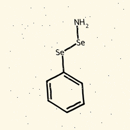 N[Se][Se]c1ccccc1